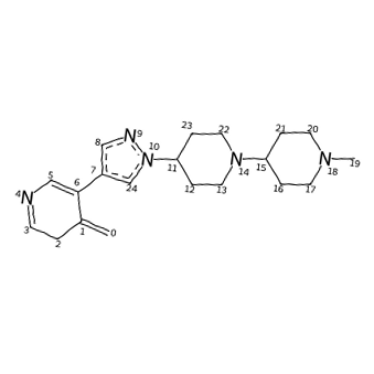 C=C1CC=NC=C1c1cnn(C2CCN(C3CCN(C)CC3)CC2)c1